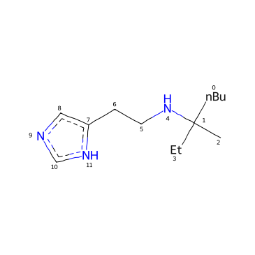 CCCCC(C)(CC)NCCc1cnc[nH]1